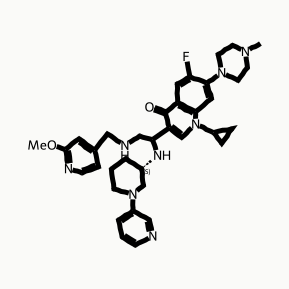 COc1cc(CNCC(N[C@H]2CCCN(c3cccnc3)C2)c2cn(C3CC3)c3cc(N4CCN(C)CC4)c(F)cc3c2=O)ccn1